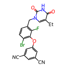 CCc1cn(Cc2ccc(Br)c(Oc3cc(C#N)cc(C#N)c3)c2F)c(=O)[nH]c1=O